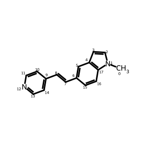 Cn1ccc2cc(C=Cc3ccncc3)ccc21